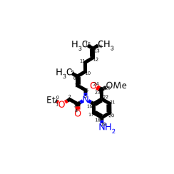 CCOCC(=O)N(CC=C(C)CCC=C(C)C)c1cc(N)ccc1C(=O)OC